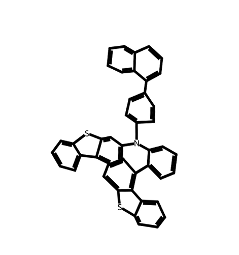 c1ccc(N(c2ccc(-c3cccc4ccccc34)cc2)c2ccc3c(c2)sc2ccccc23)c(-c2cccc3sc4ccccc4c23)c1